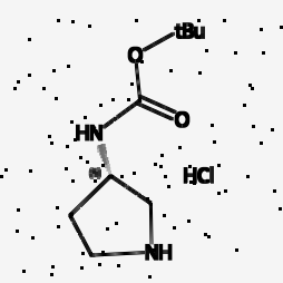 CC(C)(C)OC(=O)N[C@H]1CCNC1.Cl